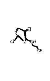 OCCNc1nc(Cl)ncc1Cl